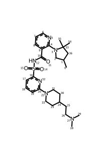 CC1CN(c2ncccc2C(=O)NS(=O)(=O)c2cccc(N3CCC(CCN(C)C)CC3)n2)C(C)(C)C1